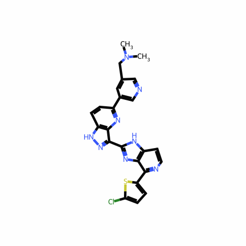 CN(C)Cc1cncc(-c2ccc3[nH]nc(-c4nc5c(-c6ccc(Cl)s6)nccc5[nH]4)c3n2)c1